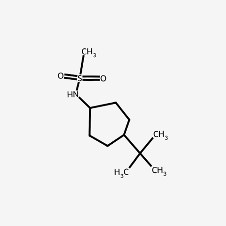 CC(C)(C)C1CCC(NS(C)(=O)=O)CC1